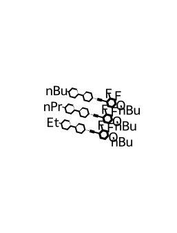 CCCCOc1ccc(C#C[C@H]2CC[C@H]([C@H]3CC[C@H](CC)CC3)CC2)c(F)c1F.CCCCOc1ccc(C#C[C@H]2CC[C@H]([C@H]3CC[C@H](CCC)CC3)CC2)c(F)c1F.CCCCOc1ccc(C#C[C@H]2CC[C@H]([C@H]3CC[C@H](CCCC)CC3)CC2)c(F)c1F